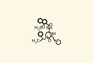 CCC(CN1CC[C@@H](CNC(=O)c2ccc3ccccc3c2OC)N[C@@H](CCN2CCCCC2)C1=O)c1ccccc1